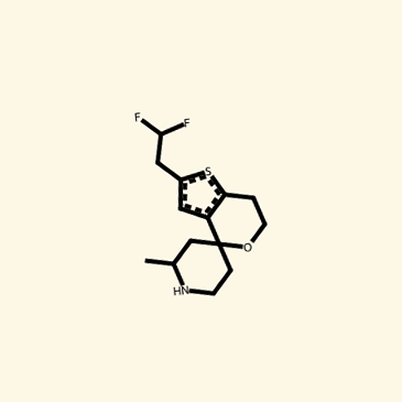 CC1CC2(CCN1)OCCc1sc(CC(F)F)cc12